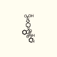 O=C(O)N1CC2(CCN(C(=O)c3ccccc3S(=O)(=O)Nc3cccnc3)CC2)C1